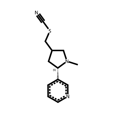 CN1CC(CSC#N)C[C@H]1c1cccnc1